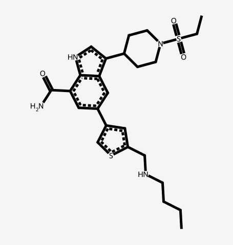 CCCCNCc1cc(-c2cc(C(N)=O)c3[nH]cc(C4CCN(S(=O)(=O)CC)CC4)c3c2)cs1